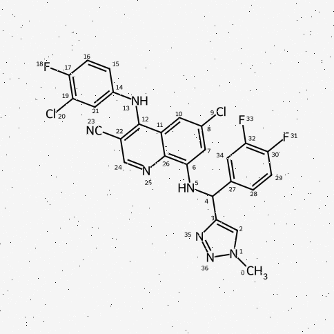 Cn1cc(C(Nc2cc(Cl)cc3c(Nc4ccc(F)c(Cl)c4)c(C#N)cnc23)c2ccc(F)c(F)c2)nn1